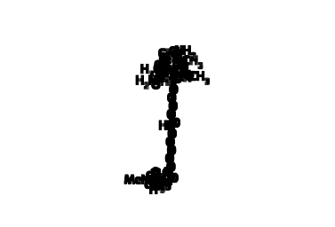 CCn1nc(C)cc1C(=O)N=c1n(C)c2cc(C(N)=O)ccc2n1CCC(CCn1c(=NC(=O)c2cc(C)nn2CC)n(C)c2cc(C(N)=O)ccc21)OCC(=O)NCCOCCOCCOCCOCCC(=O)NCCOCCOCCOCCOCCOc1cccc(C(=O)c2csc([C@@H]3CCCN3C(=O)[C@@H](NC(=O)[C@H](C)NC)C3CCCCC3)n2)c1